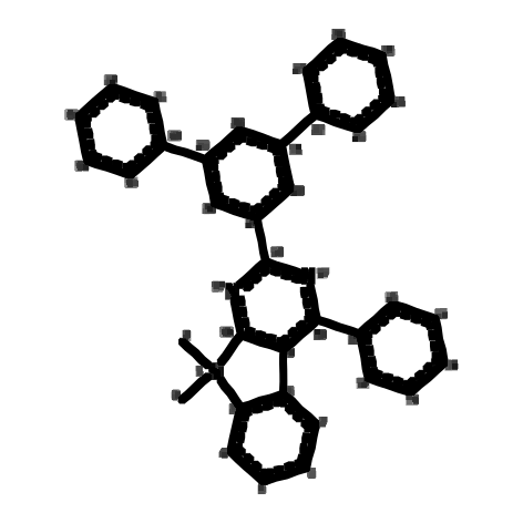 C[Si]1(C)c2ccccc2-c2c(-c3ccccc3)nc(-c3cc(-c4ccccc4)cc(-c4ccccc4)c3)nc21